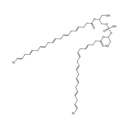 CC/C=C/C/C=C/C/C=C/C/C=C/C/C=C/C/C=C/CCC(=O)OC(CO)COP(=O)(O)OC(CO)OC(=O)CC/C=C/C/C=C/C/C=C/C/C=C/C/C=C/C/C=C/CC